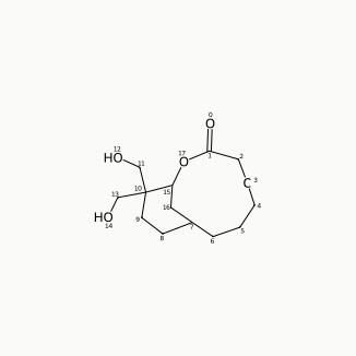 O=C1CCCCCC2CCC(CO)(CO)C(C2)O1